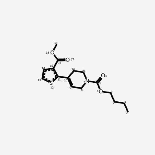 CCCCOC(=O)N1CC=C(c2sccc2C(=O)OC)CC1